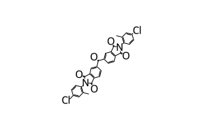 Cc1cc(Cl)ccc1N1C(=O)c2ccc(C(=O)c3ccc4c(c3)C(=O)N(c3ccc(Cl)cc3C)C4=O)cc2C1=O